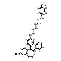 Oc1ccc2c(c1)CCCC(c1ccccc1)=C2c1ccc(OCCCCCSCc2ccc(C(F)(F)F)cc2)cc1